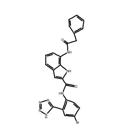 O=C(Cc1ccccc1)Nc1cccc2cc(C(=O)Nc3ccc(Br)cc3-c3nnn[nH]3)[nH]c12